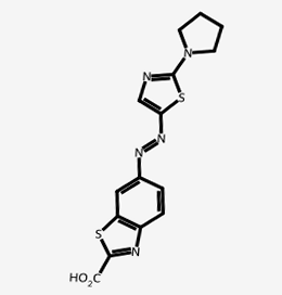 O=C(O)c1nc2ccc(/N=N/c3cnc(N4CCCC4)s3)cc2s1